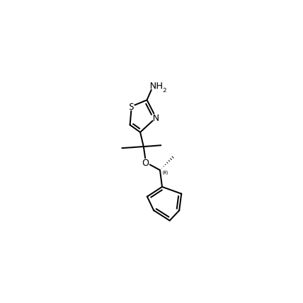 C[C@@H](OC(C)(C)c1csc(N)n1)c1ccccc1